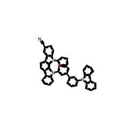 N#Cc1ccc2c(c1)c1ccc3c4ccccc4n(-c4cccc(-c5cccc(-n6c7ccccc7c7ccccc76)c5)c4)c3c1n2-c1ccccc1